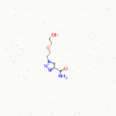 NC(=O)c1cn(CCOCCO)nn1